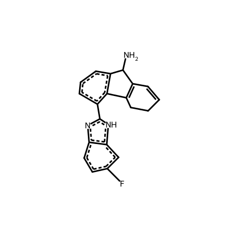 NC1C2=C(CCC=C2)c2c(-c3nc4ccc(F)cc4[nH]3)cccc21